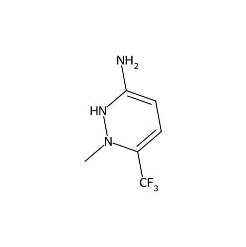 CN1NC(N)=CC=C1C(F)(F)F